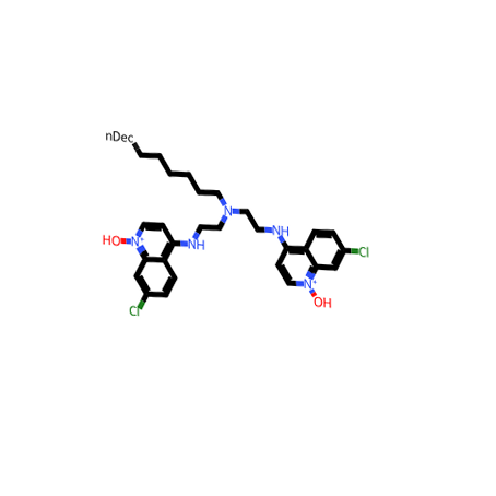 CCCCCCCCCCCCCCCCN(CCNc1cc[n+](O)c2cc(Cl)ccc12)CCNc1cc[n+](O)c2cc(Cl)ccc12